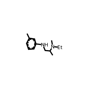 CCN(C)C(C)CNc1cccc(C)c1